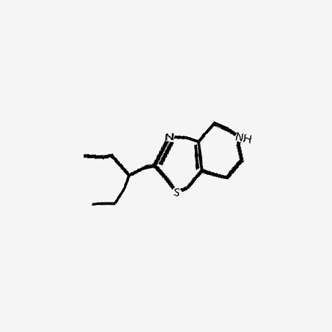 CCC(CC)c1nc2c(s1)CCNC2